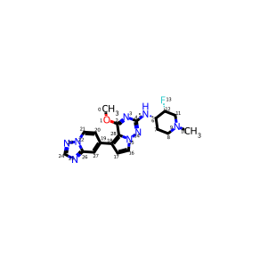 COc1nc(N[C@H]2CCN(C)C[C@H]2F)nn2ccc(-c3ccn4ncnc4c3)c12